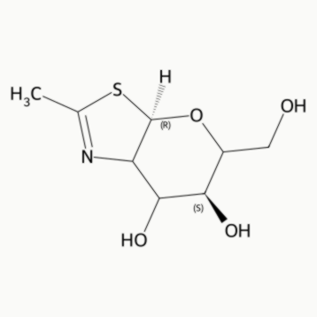 CC1=NC2C(O)[C@H](O)C(CO)O[C@@H]2S1